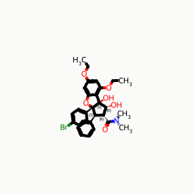 CCOc1cc(OCC)c2c(c1)O[C@@]1(c3ccc(Br)cc3)[C@H](c3ccccc3)[C@@H](C(=O)N(C)C)[C@@H](O)[C@@]21O